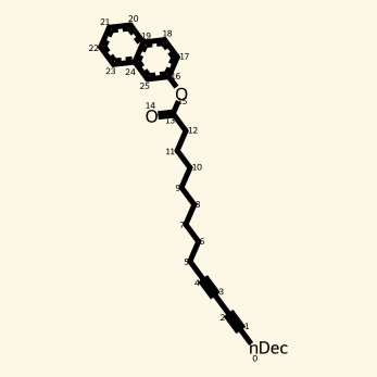 CCCCCCCCCCC#CC#CCCCCCCCCC(=O)Oc1ccc2ccccc2c1